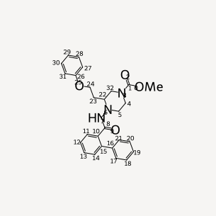 COC(=O)N1CCN(NC(=O)c2ccccc2-c2ccccc2)C(CCOc2ccccc2)C1